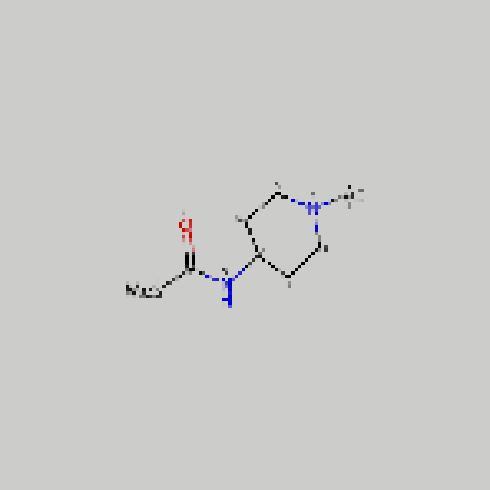 CSC(=O)NC1CCN(C(C)=O)CC1